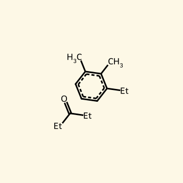 CCC(=O)CC.CCc1cccc(C)c1C